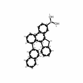 OB(O)c1ccc2c(c1)c1c(c3c(-c4ccc5ccccc5c4)cccc32)-c2ccccc2C1